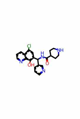 O=C(NC(c1cccnc1)c1cc(Cl)c2cccnc2c1O)C1CCNCC1